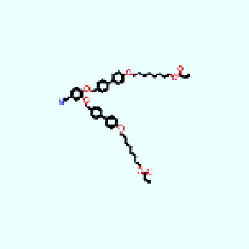 C=CC(=O)OCCCCCCCCOc1ccc(-c2ccc(COc3ccc(C#N)cc3OCc3ccc(-c4ccc(OCCCCCCCCOC(=O)C=C)cc4)cc3)cc2)cc1